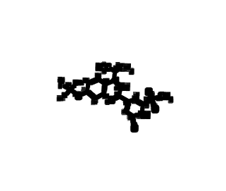 CC(C)[C@@H](NC(=O)c1cc(=O)[nH]c(S(C)(=O)=O)n1)c1ccc(OC(F)(F)F)cc1